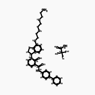 NCCOCCOCCOc1cccc2c1CCC2n1cccc(C(=O)Nc2ccc(-c3ccccc3)cc2)c1=O.O=C(O)C(F)(F)F